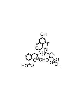 CS(=O)(=O)N1CCN(C(=O)NC(C(=O)NC2Cc3cccc(C(=O)O)c3OB2O)c2c(F)cc(O)cc2F)C1=O